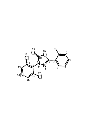 Cc1ccccc1-c1nn(-c2c(Cl)cncc2Cl)c(=O)o1